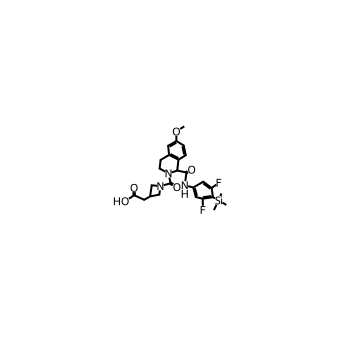 COc1ccc2c(c1)CCN(C(=O)N1CC(CC(=O)O)C1)C2C(=O)Nc1cc(F)c([Si](C)(C)C)c(F)c1